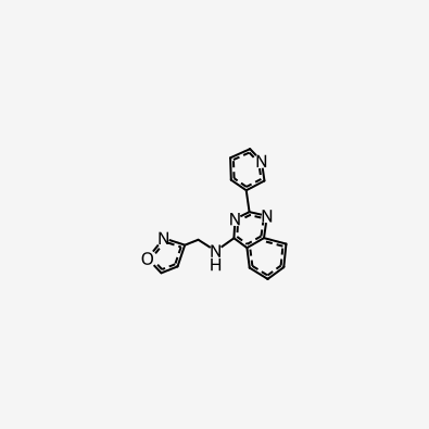 c1cncc(-c2nc(NCc3ccon3)c3ccccc3n2)c1